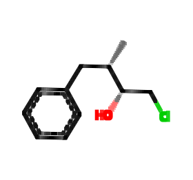 C[C@@H](Cc1ccccc1)[C@@H](O)CCl